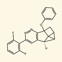 Fc1cccc(F)c1-c1cc2c(nn1)C1(Oc3ccccc3)CC3C4[C@@H]2C341